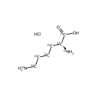 Cl.[15NH2][13CH2][13CH2][13CH2][13CH2][13C@H]([15NH2])[13C](=O)O